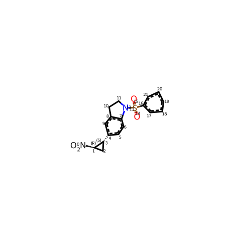 O=[N+]([O-])[C@@H]1C[C@H]1c1ccc2c(c1)CCN2S(=O)(=O)c1ccccc1